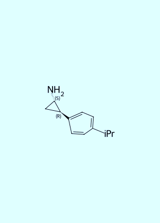 CC(C)c1ccc([C@H]2C[C@@H]2N)cc1